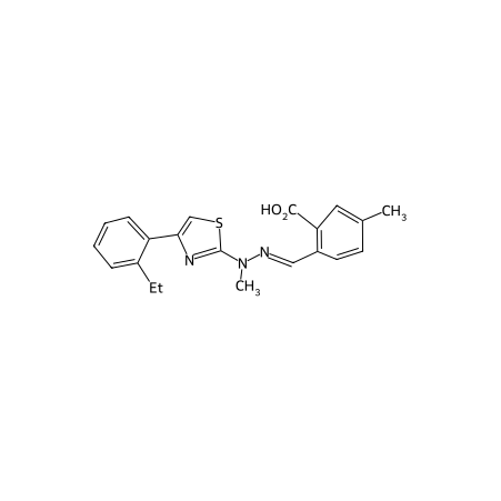 CCc1ccccc1-c1csc(N(C)/N=C/c2ccc(C)cc2C(=O)O)n1